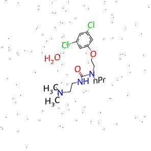 CCCN(CCOc1cc(Cl)cc(Cl)c1)C(=O)NCCN(C)C.O